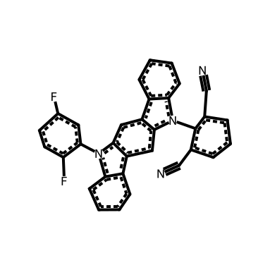 N#Cc1cccc(C#N)c1-n1c2ccccc2c2cc3c(cc21)c1ccccc1n3-c1cc(F)ccc1F